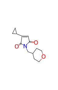 O=C1C=C(C2CC2)C(=O)N1CC1CCOCC1